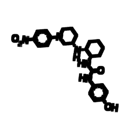 O=C(Nc1ccc(O)cc1)N[C@@H]1CCCC[C@H]1N[C@H]1CCCN(c2ccc([N+](=O)[O-])cc2)C1